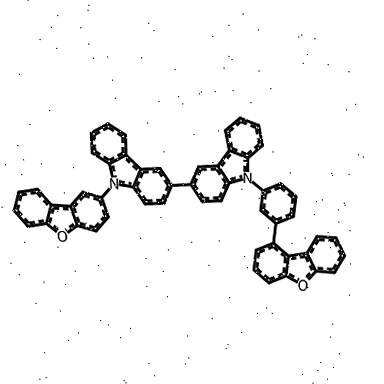 c1cc(-c2cccc3oc4ccccc4c23)cc(-n2c3ccccc3c3cc(-c4ccc5c(c4)c4ccccc4n5-c4ccc5oc6ccccc6c5c4)ccc32)c1